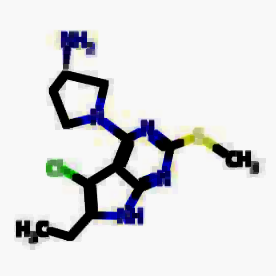 CCc1[nH]c2nc(SC)nc(N3CC[C@H](N)C3)c2c1Cl